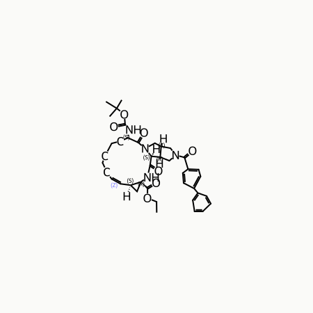 CCOC(=O)[C@@]12C[C@H]1/C=C\CCCCC[C@H](NC(=O)OC(C)(C)C)C(=O)N1C[C@@H]3CN(C(=O)c4ccc(-c5ccccc5)cc4)C[C@@H]3[C@H]1C(=O)N2